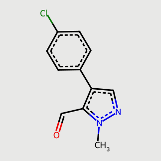 Cn1ncc(-c2ccc(Cl)cc2)c1C=O